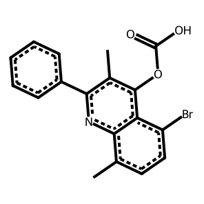 Cc1c(-c2ccccc2)nc2c(C)ccc(Br)c2c1OC(=O)O